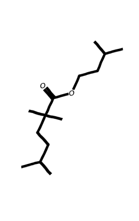 CC(C)CCOC(=O)C(C)(C)CCC(C)C